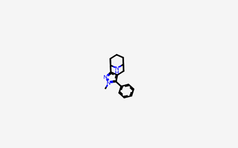 Cn1nc2c(c1-c1ccccc1)CC1CCCC2N1